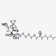 CCCCCCCC(=O)CCCCCC/C=C/[C@H](O)[C@@](O)(CCO)C(=O)OC(C)(C)C